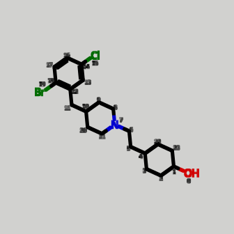 OC1CCC(CCN2CCC(Cc3cc(Cl)ccc3Br)CC2)CC1